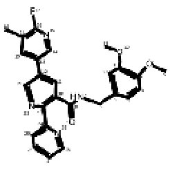 COc1ccc(CNC(=O)c2cc(-c3cnc(F)c(C)c3)cnc2-c2ccccn2)cc1OC